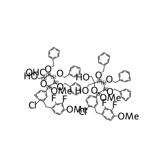 COc1ccc(Cc2cc([C@]3(OC)OC(CO)(CO)[C@@H](OCc4ccccc4)[C@H](OCc4ccccc4)[C@H]3OCc3ccccc3)ccc2Cl)c(F)c1F.COc1ccc(Cc2cc([C@]3(OC)O[C@@](C=O)(CO)[C@@H](OCc4ccccc4)[C@H](OCc4ccccc4)[C@H]3OCc3ccccc3)ccc2Cl)c(F)c1F